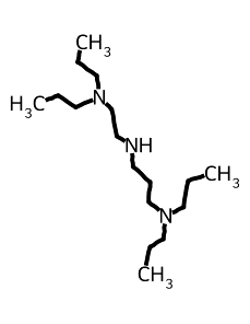 CCCN(CCC)CCCNCCN(CCC)CCC